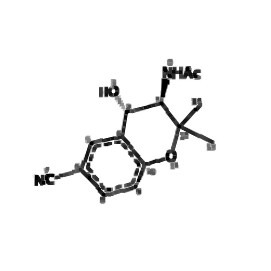 CC(=O)N[C@@H]1[C@@H](O)c2cc(C#N)ccc2OC1(C)C